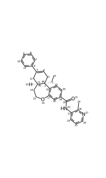 CC[C@@]12CC=C(c3ccccc3)C[C@@H]1CCOc1cc(C(=O)Nc3cccnc3C)ccc12